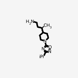 CC(C)c1noc(N2CCC([C@H](C)CCN)CC2)n1